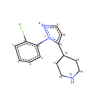 Fc1ccccc1-n1nccc1C1CCNCC1